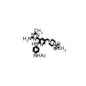 CC(=O)Nc1ccc(Nc2ncc(CN3CCN(S(C)(=O)=O)CC3)cc2-c2nc(C)nc(N)n2)cc1